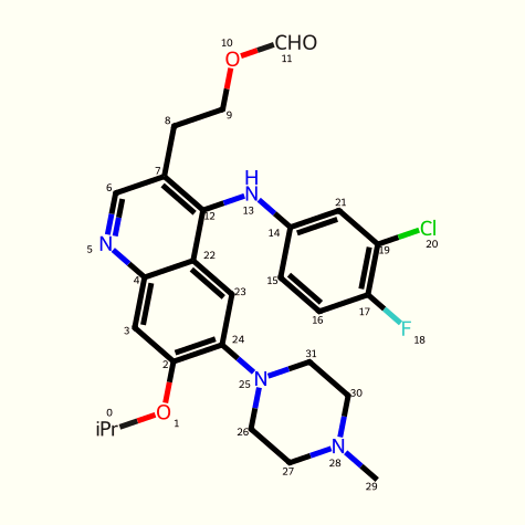 CC(C)Oc1cc2ncc(CCOC=O)c(Nc3ccc(F)c(Cl)c3)c2cc1N1CCN(C)CC1